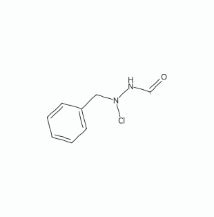 O=[C]NN(Cl)Cc1ccccc1